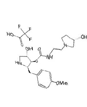 COc1ccc(C[C@H]2NC[C@H](O)[C@H]2OC(=O)NCCN2CC[C@H](O)C2)cc1.O=C(O)C(F)(F)F